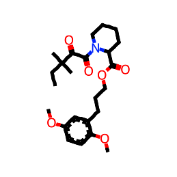 CCC(C)(C)C(=O)C(=O)N1CCCCC1C(=O)OCCCc1cc(OC)ccc1OC